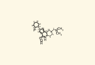 CN(C)CC1CCc2[nH]c(=O)n3cc(-c4ccccc4F)nc3c2C1.Cl